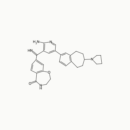 N=C(c1ccc2c(c1)OCCNC2=O)c1cc(-c2ccc3c(c2)CCC(N2CCCC2)CC3)cnc1N